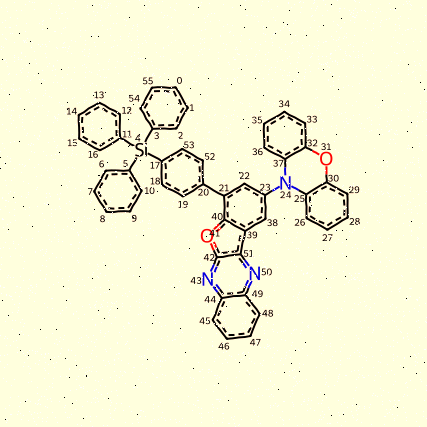 c1ccc([Si](c2ccccc2)(c2ccccc2)c2ccc(-c3cc(N4c5ccccc5Oc5ccccc54)cc4c3oc3nc5ccccc5nc34)cc2)cc1